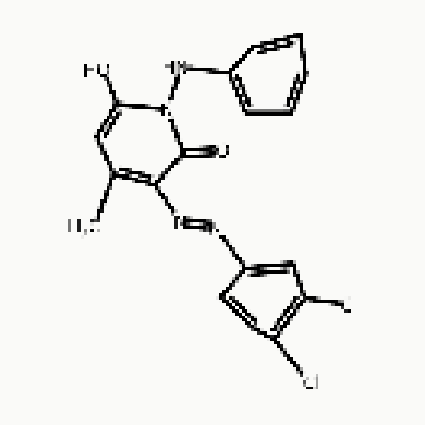 Cc1cc(O)n(Nc2ccccc2)c(=O)c1N=Nc1ccc(Cl)c(Cl)c1